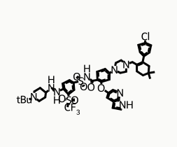 CC1(C)CCC(CN2CCN(c3ccc(C(=O)NS(=O)(=O)c4ccc(NNC5CCN(C(C)(C)C)CC5)c(S(=O)(=O)C(F)(F)F)c4)c(Oc4cnc5[nH]ccc5c4)c3)CC2)=C(c2ccc(Cl)cc2)C1